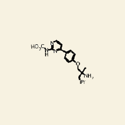 CC(C)CC(C)(N)COc1ccc(-c2ccnc(NC(=O)O)n2)cc1